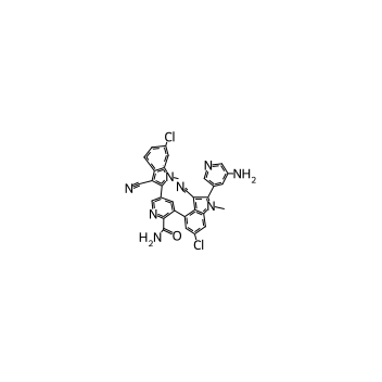 Cn1c(-c2cnc(C(N)=O)c(-c3cc(Cl)cc4c3c(C#N)c(-c3cncc(N)c3)n4C)c2)c(C#N)c2ccc(Cl)cc21